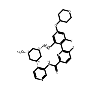 C[C@@H]1C[C@H](N)C[C@H](c2ccncc2NC(=O)c2ccc(F)c(-c3c(F)cc(OC4CCOCC4)cc3P)n2)C1